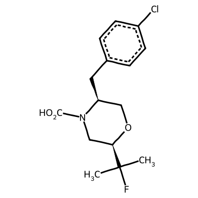 CC(C)(F)[C@H]1CN(C(=O)O)[C@@H](Cc2ccc(Cl)cc2)CO1